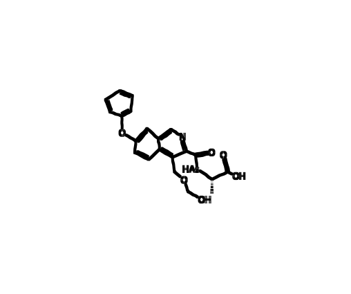 C[C@H]([AsH]C(=O)c1ncc2cc(Oc3ccccc3)ccc2c1COCO)C(=O)O